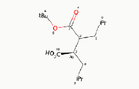 CC(C)CC(C(=O)OC(C)(C)C)[C@@H](CC(C)C)C(=O)O